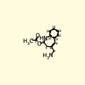 CC(=O)OC1CC(CN)=Cc2ccccc2N1